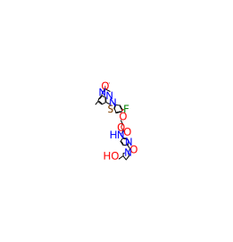 COc1cnc2c(-c3nc4cc(F)c(OCCOC(=O)Nc5ccc(C(=O)N6CCC(CO)C6)nc5)cc4s3)cc(C)cc2n1